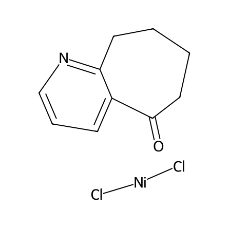 O=C1CCCCc2ncccc21.[Cl][Ni][Cl]